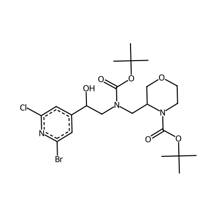 CC(C)(C)OC(=O)N(CC(O)c1cc(Cl)nc(Br)c1)CC1COCCN1C(=O)OC(C)(C)C